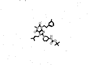 CC(C)=CCn1c(N2CCCC(NC(=O)OC(C)(C)C)C2)nc2c1c(=O)n(C)c(=O)n2CCc1cccc(C)c1